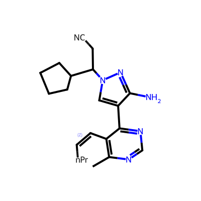 CCC/C=C\c1c(C)ncnc1-c1cn(C(CC#N)C2CCCC2)nc1N